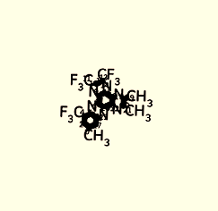 Cc1cc(C(F)(F)F)c2nc3c4nc(C(F)(F)F)c(C(F)(F)F)nc4c4nc(C)c(C)nc4c3nc2c1